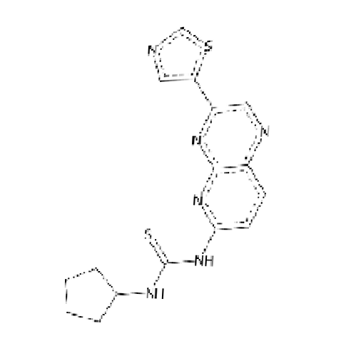 S=C(Nc1ccc2ncc(-c3cncs3)nc2n1)NC1CCCC1